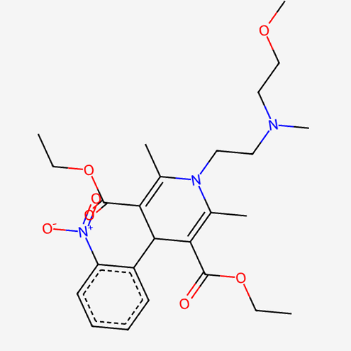 CCOC(=O)C1=C(C)N(CCN(C)CCOC)C(C)=C(C(=O)OCC)C1c1ccccc1[N+](=O)[O-]